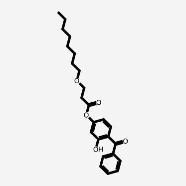 CCCCCCCCOCCC(=O)Oc1ccc(C(=O)c2ccccc2)c(O)c1